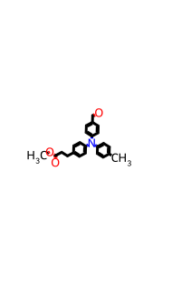 COC(=O)CCc1ccc(N(c2ccc(C)cc2)c2ccc(C=O)cc2)cc1